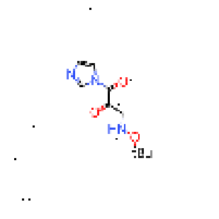 CC(C)(C)ONCC(=O)C(=O)n1ccnc1